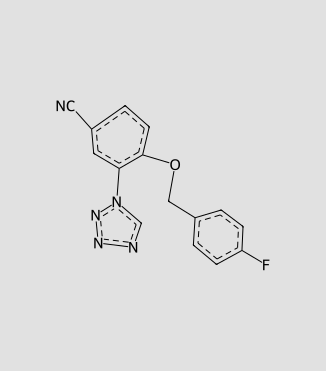 N#Cc1ccc(OCc2ccc(F)cc2)c(-n2cnnn2)c1